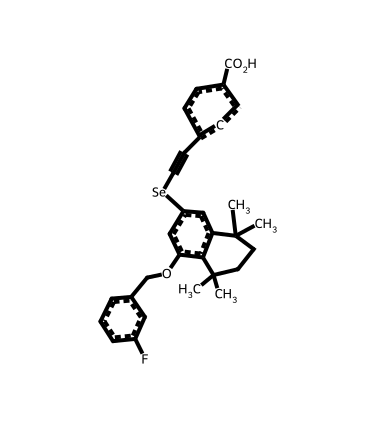 CC1(C)CCC(C)(C)c2c(OCc3cccc(F)c3)cc([Se]C#Cc3ccc(C(=O)O)cc3)cc21